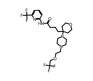 O=C(CCCC1(N2CCN(CCOCC(F)(F)F)CC2)CCOCC1)Nc1cccc(C(F)(F)F)n1